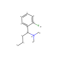 CCCC(c1ccccc1F)N(C)C